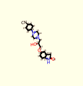 [C-]#[N+]c1ccc(N2CCN(C[C@H](O)COc3ccc4c(c3)CC(=O)N4)CC2)cc1